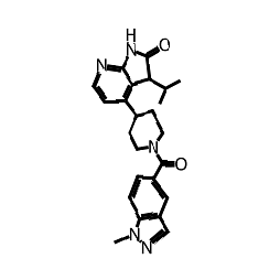 CC(C)C1C(=O)Nc2nccc(C3CCN(C(=O)c4ccc5c(cnn5C)c4)CC3)c21